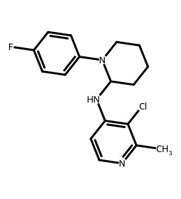 Cc1nccc(NC2CCCCN2c2ccc(F)cc2)c1Cl